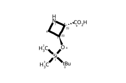 CC(C)(C)[Si](C)(C)O[C@H]1CN[C@@H]1C(=O)O